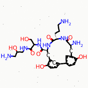 NCCC[C@@H]1NC(=O)[C@@H](N)Cc2cc(ccc2O)-c2ccc(O)c(c2)C[C@@H](C(=O)NC(CO)C(=O)NCC(O)CN)NC1=O